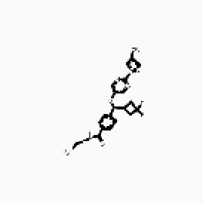 O=C(O)CCNC(=O)c1ccc(C(Oc2cnc(-n3cc(C(F)(F)F)cn3)nc2)C2CC(F)(F)C2)cc1